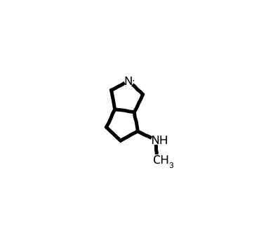 CNC1CCC2C[N]CC21